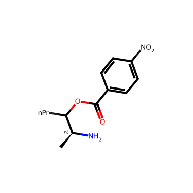 CCCC(OC(=O)c1ccc([N+](=O)[O-])cc1)[C@H](C)N